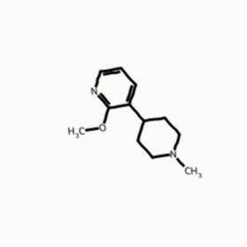 COc1ncccc1C1CCN(C)CC1